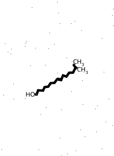 CCC(C)CCCC/C=C/CCCCCCCO